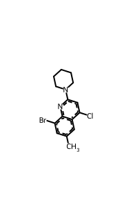 Cc1cc(Br)c2nc(N3CCCCC3)cc(Cl)c2c1